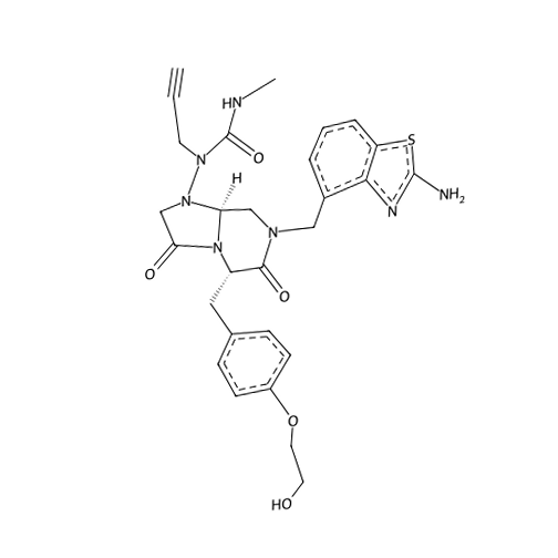 C#CCN(C(=O)NC)N1CC(=O)N2[C@@H](Cc3ccc(OCCO)cc3)C(=O)N(Cc3cccc4sc(N)nc34)C[C@@H]21